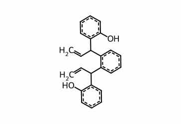 C=CC(c1ccccc1O)c1ccccc1C(C=C)c1ccccc1O